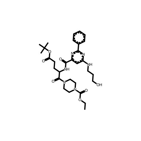 CCOC(=O)N1CCN(C(=O)C(CCC(=O)OC(C)(C)C)NC(=O)c2cc(NCCCO)nc(-c3ccccc3)n2)CC1